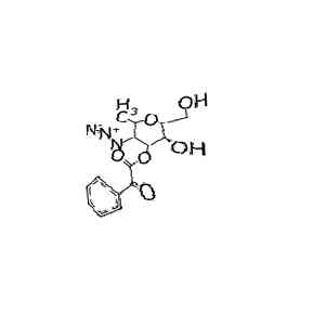 CC1OC(CO)[C@@H](O)C(OC(=O)C(=O)c2ccccc2)C1N=[N+]=[N-]